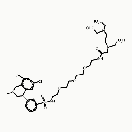 CN1Cc2c(Cl)cc(Cl)cc2[C@H](c2cccc(S(=O)(=O)NCCOCCOCCOCCNC(=O)CN(CCN(CC=O)CC(=O)O)CC(=O)O)c2)C1